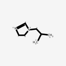 CC(C)CN1C=NCC1